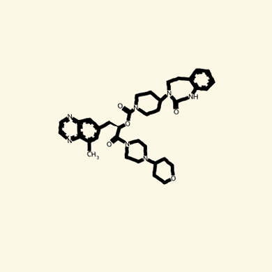 Cc1cc(C[C@@H](OC(=O)N2CCC(N3CCc4ccccc4NC3=O)CC2)C(=O)N2CCN(C3CCOCC3)CC2)cc2nccnc12